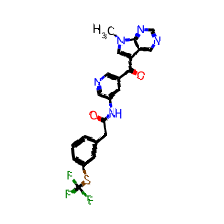 Cn1cc(C(=O)c2cncc(NC(=O)Cc3cccc(SC(F)(F)F)c3)c2)c2cncnc21